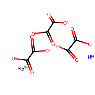 O=C([O-])C(=O)[O-].O=C([O-])C(=O)[O-].O=C([O-])C(=O)[O-].[NH4+].[Nb+5]